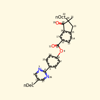 CCCCCCCCCCc1cnc(-c2ccc(OC(=O)c3ccc4c(c3)C(=O)C(C)(CCCCCCCC)C4)cc2)nc1